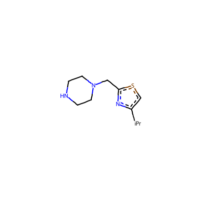 CC(C)c1csc(CN2CCNCC2)n1